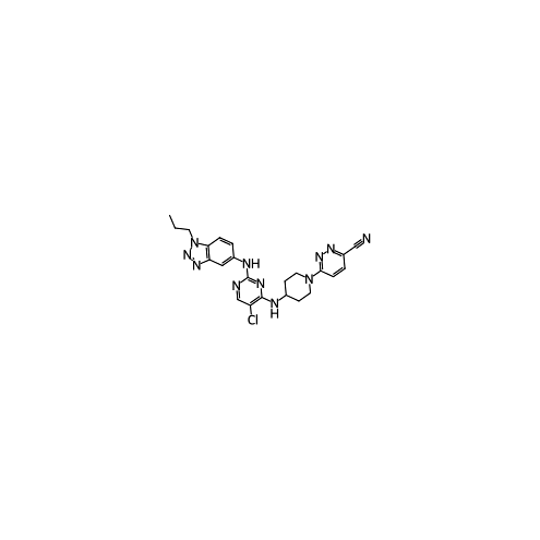 CCCn1nnc2cc(Nc3ncc(Cl)c(NC4CCN(c5ccc(C#N)nn5)CC4)n3)ccc21